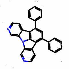 c1ccc(-c2cc(-c3ccccc3)c3c4ccncc4n4c5cnccc5c2c34)cc1